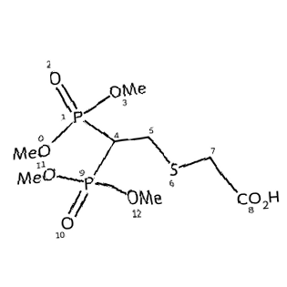 COP(=O)(OC)C(CSCC(=O)O)P(=O)(OC)OC